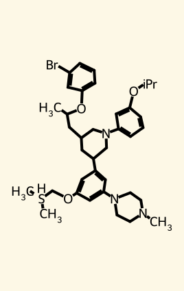 CC(C)Oc1cccc(N2CC(CC(C)Oc3cccc(Br)c3)CC(c3cc(OC[SH](C)C)cc(N4CCN(C)CC4)c3)C2)c1